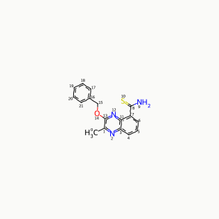 Cc1nc2cccc(C(N)=S)c2nc1OCc1ccccc1